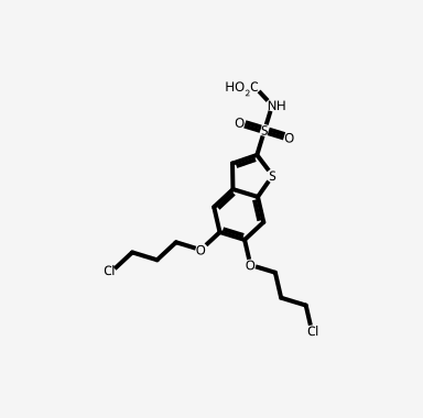 O=C(O)NS(=O)(=O)c1cc2cc(OCCCCl)c(OCCCCl)cc2s1